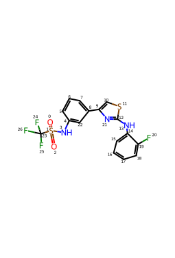 O=S(=O)(Nc1cccc(-c2csc(Nc3ccccc3F)n2)c1)C(F)(F)F